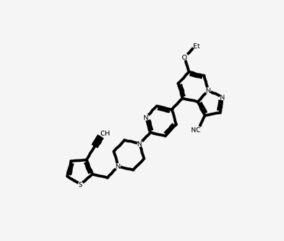 C#Cc1ccsc1CN1CCN(c2ccc(-c3cc(OCC)cn4ncc(C#N)c34)cn2)CC1